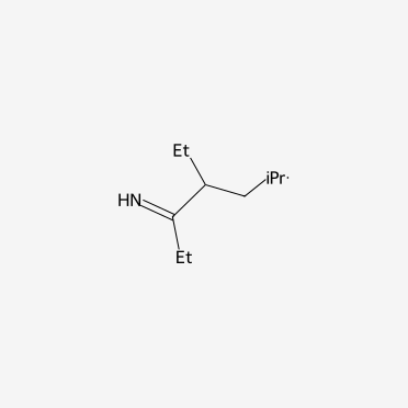 CCC(=N)C(CC)C[C](C)C